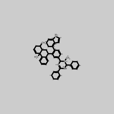 CC1CC=CC2(C)c3ccccc3C(c3cc(C4N=C(C5=CCCC=C5)NC(C5=CC=CCC5)N4C)ccc3C3=c4cc[nH]c4=CCC3)CC12